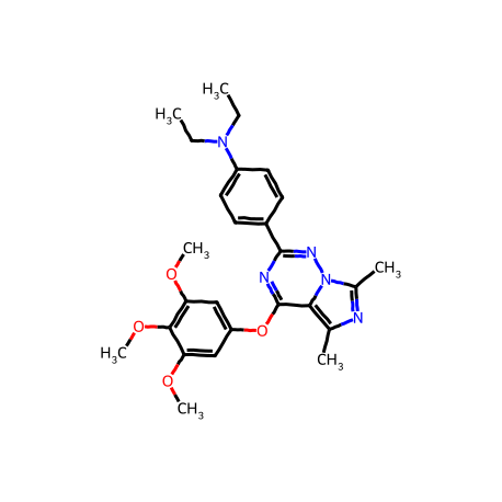 CCN(CC)c1ccc(-c2nc(Oc3cc(OC)c(OC)c(OC)c3)c3c(C)nc(C)n3n2)cc1